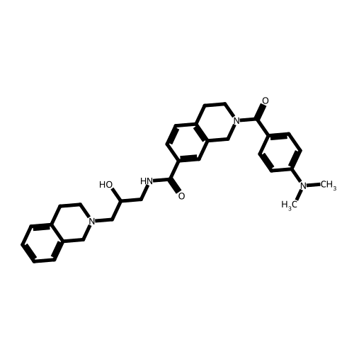 CN(C)c1ccc(C(=O)N2CCc3ccc(C(=O)NCC(O)CN4CCc5ccccc5C4)cc3C2)cc1